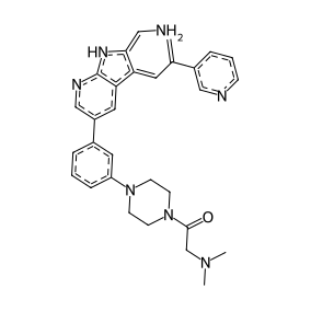 C=C(/C=c1\c(=C/N)[nH]c2ncc(-c3cccc(N4CCN(C(=O)CN(C)C)CC4)c3)cc12)c1cccnc1